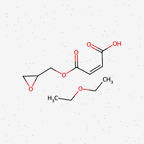 CCOCC.O=C(O)/C=C\C(=O)OCC1CO1